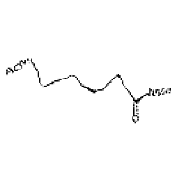 CNC(=O)CCCCNC(C)=O